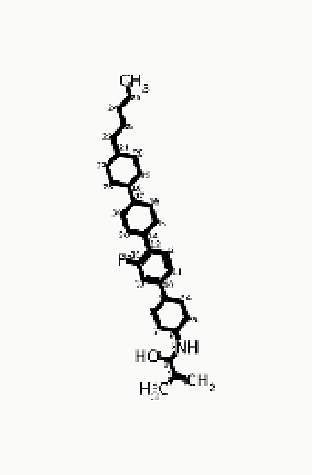 C=C(C)C(O)NC1CCC(c2ccc(C3CCC(C4CCC(CCCCC)CC4)CC3)c(F)c2)CC1